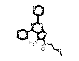 COCC[S@@+]([O-])c1sc2nc(-c3cccnc3)nc(-c3ccccc3)c2c1N